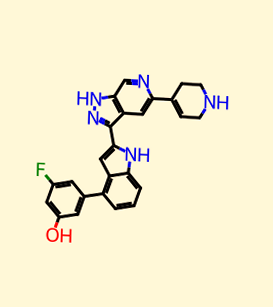 Oc1cc(F)cc(-c2cccc3[nH]c(-c4n[nH]c5cnc(C6=CCNCC6)cc45)cc23)c1